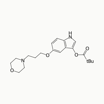 CC(C)(C)C(=O)Oc1c[nH]c2ccc(OCCCN3CCOCC3)cc12